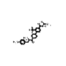 N=C(N)NC(=O)c1ccc(C2CCN(C(=O)C(N)Cc3ccc(N)cc3)CC2)c(C(F)(F)F)c1